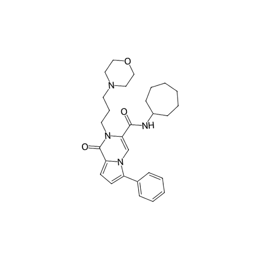 O=C(NC1CCCCCC1)c1cn2c(-c3ccccc3)ccc2c(=O)n1CCCN1CCOCC1